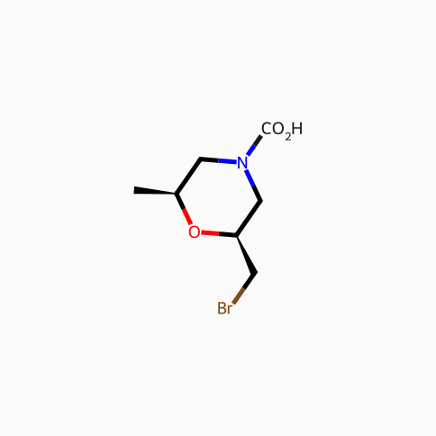 C[C@H]1CN(C(=O)O)C[C@@H](CBr)O1